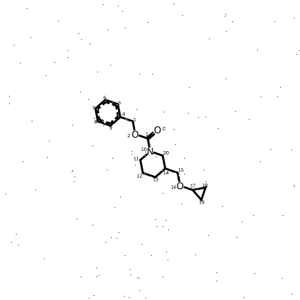 O=C(OCc1ccccc1)N1CCCC(COC2CC2)C1